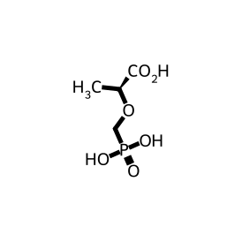 C[C@H](OCP(=O)(O)O)C(=O)O